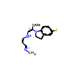 C/N=C/C=C\N/C=C(/NC)N1CCc2cc(F)ccc21